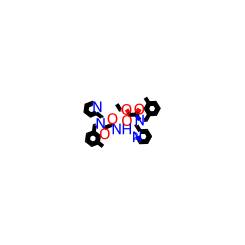 CCOC(=O)C(=O)N(Cc1cccc(C)c1)Cc1ccccn1.Cc1cccc(CN(Cc2ccccn2)C(=O)C(N)=O)c1